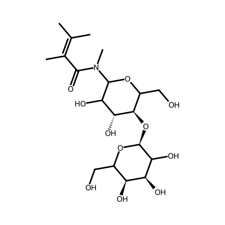 CC(C)=C(C)C(=O)N(C)C1OC(CO)[C@@H](O[C@@H]2OC(CO)[C@H](O)[C@H](O)C2O)[C@H](O)C1O